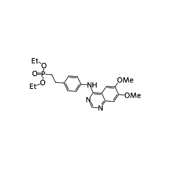 CCOP(=O)(CCc1ccc(Nc2ncnc3cc(OC)c(OC)cc23)cc1)OCC